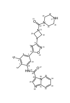 Cc1c(F)cc(-c2nc(C3CN(C(=O)N4CCNCC4)C3)no2)cc1NC(=O)c1cnc2ccccn12